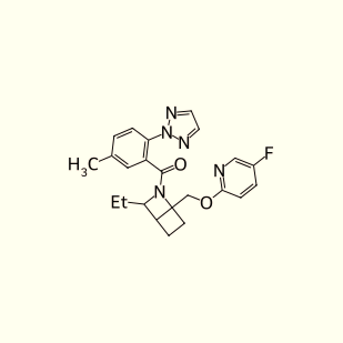 CCC1C2CCC2(COc2ccc(F)cn2)N1C(=O)c1cc(C)ccc1-n1nccn1